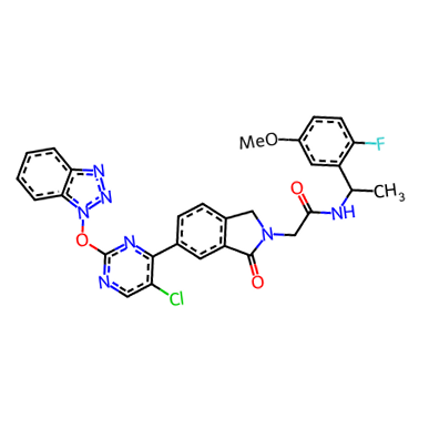 COc1ccc(F)c(C(C)NC(=O)CN2Cc3ccc(-c4nc(On5nnc6ccccc65)ncc4Cl)cc3C2=O)c1